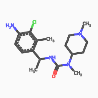 Cc1c(C(C)NC(=O)N(C)C2CCN(C)CC2)ccc(N)c1Cl